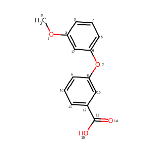 COc1cccc(Oc2cccc(C(=O)O)c2)c1